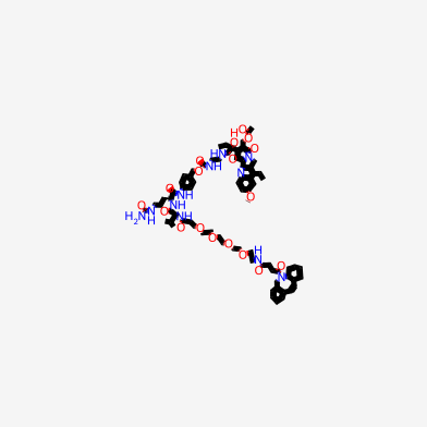 CCc1c2c(nc3ccc(OC)cc13)-c1cc([C@@](O)(CC)C(=O)NCCNC(=O)OCc3ccc(NC(=O)[C@H](CCCNC(N)=O)NC(=O)[C@@H](NC(=O)CCOCCOCCOCCOCCNC(=O)CCC(=O)N4Cc5ccccc5C#CC5C=CC=CC54)C(C)C)cc3)c(COC(C)=O)c(=O)n1C2